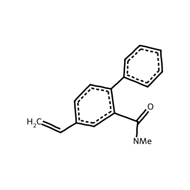 C=Cc1ccc(-c2ccccc2)c(C(=O)NC)c1